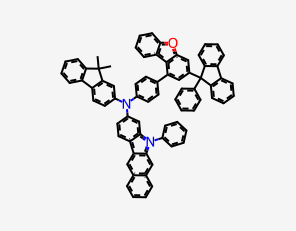 CC1(C)c2ccccc2-c2ccc(N(c3ccc(-c4cc(C5(c6ccccc6)c6ccccc6-c6ccccc65)cc5oc6ccccc6c45)cc3)c3ccc4c5cc6ccccc6cc5n(-c5ccccc5)c4c3)cc21